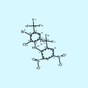 O=[N+]([O-])c1cc([N+](=O)[O-])c(Nc2c(Cl)cc(C(F)(F)F)c(Br)c2Cl)c(C(F)(F)F)c1